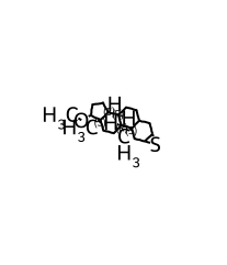 COC1CC[C@H]2[C@@H]3CCC4CC5SC5C[C@]4(C)[C@@H]3CC[C@]12C